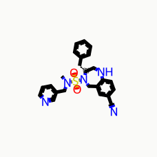 CN(Cc1cccnc1)S(=O)(=O)N1Cc2cc(C#N)ccc2NC[C@H]1Cc1ccccc1